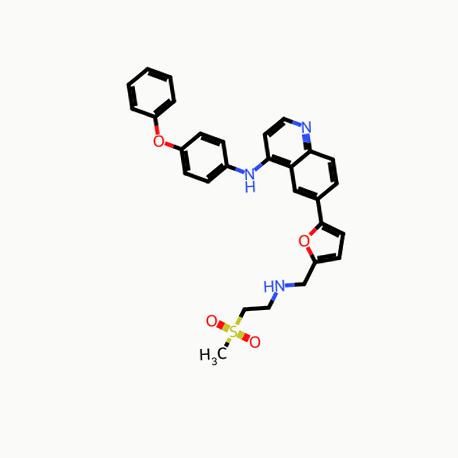 CS(=O)(=O)CCNCc1ccc(-c2ccc3nccc(Nc4ccc(Oc5ccccc5)cc4)c3c2)o1